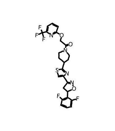 O=C(COc1cccc(C(F)(F)F)n1)N1CCC(c2nc(C3=NOC(c4c(F)cccc4F)C3)cs2)CC1